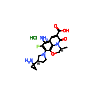 C[C@H]1COc2c(N3CC[C@@H](C4(N)CC4)C3)c(F)c(N)c3cc(C(=O)O)c(=O)n1c23.Cl